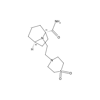 NC(=O)[C@]12C[CH]C[C@H](CC1)N2CCN1CCS(=O)(=O)CC1